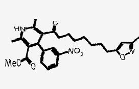 COC(=O)C1=C(C)NC(C)=C(C(=O)CCCCCCCc2cc(C)no2)C1c1cccc([N+](=O)[O-])c1